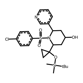 CC(C)(C)[Si](C)(C)OC1(C2CC(O)CC(c3cccnc3)N2S(=O)(=O)c2ccc(Cl)cc2)CC1